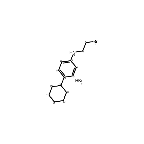 Br.BrCCNc1ccc(C2CCCCC2)cc1